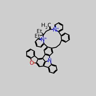 C=C1CC(CC)(CC)[n+]2ccccc2-c2cc3c4c5c(cc6c7ccccc7n(c3cc2CCc2ccccc2-c2cccc[n+]21)c64)oc1ccccc15